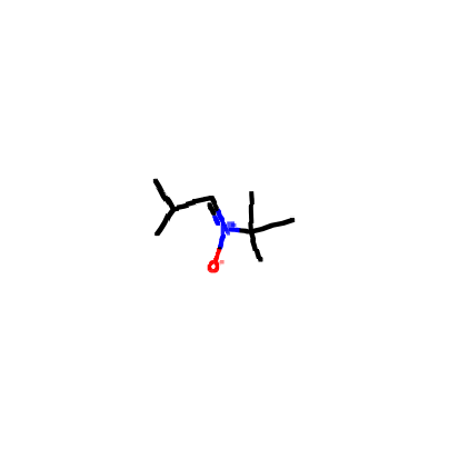 CC(C)C=[N+]([O-])C(C)(C)C